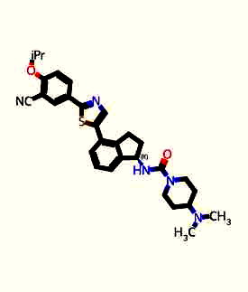 CC(C)Oc1ccc(-c2ncc(-c3cccc4c3CC[C@H]4NC(=O)N3CCC(N(C)C)CC3)s2)cc1C#N